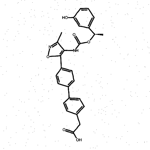 Cc1noc(-c2ccc(-c3ccc(CC(=O)O)cc3)cc2)c1NC(=O)O[C@H](C)c1cccc(O)c1